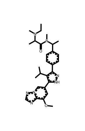 CCN(C)C(C)C(=O)N(C)C(C)c1ccc(-c2n[nH]c(-c3cc(OC)c4ncnn4c3)c2C(C)C)cc1